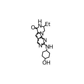 CCC1Cn2c(cc3cnc(NC4CCC(O)CC4)nc32)C(=O)N1